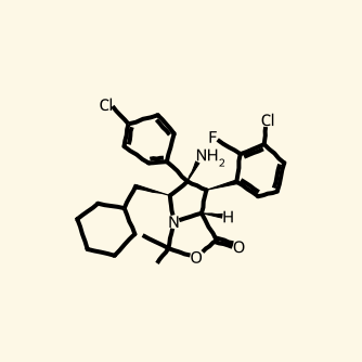 CC1(C)OC(=O)[C@H]2[C@H](c3cccc(Cl)c3F)[C@@](N)(c3ccc(Cl)cc3)[C@H](CC3CCCCC3)N21